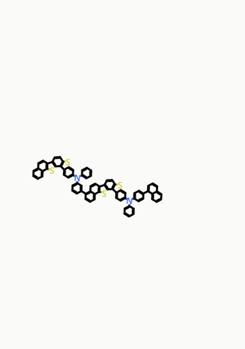 c1ccc(N(c2cccc(-c3cccc4c3ccc3c5ccc6sc7cc(N(c8ccccc8)c8ccc(-c9cccc%10ccccc9%10)cc8)ccc7c6c5sc43)c2)c2ccc3c(c2)sc2ccc4c5ccc6ccccc6c5sc4c23)cc1